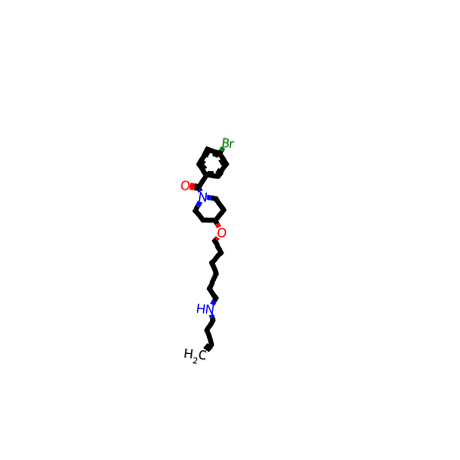 C=CCCNCCCCCCOC1CCN(C(=O)c2ccc(Br)cc2)CC1